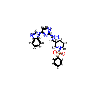 O=S(=O)(c1ccccc1)N1CCCC(CNc2nccc(-n3cnc4ccccc43)n2)C1